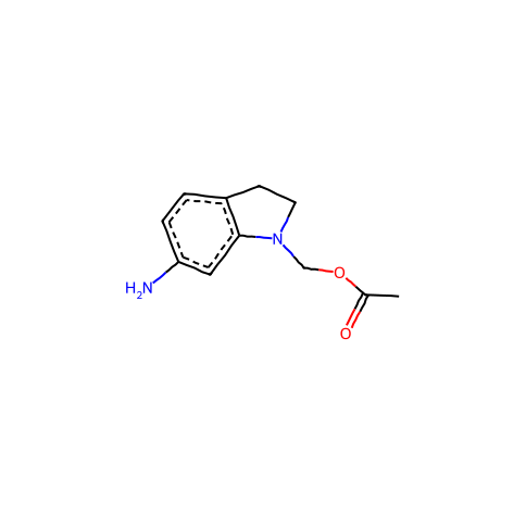 CC(=O)OCN1CCc2ccc(N)cc21